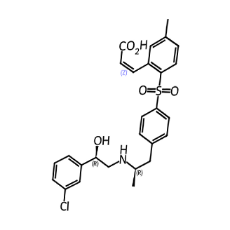 Cc1ccc(S(=O)(=O)c2ccc(C[C@@H](C)NC[C@H](O)c3cccc(Cl)c3)cc2)c(/C=C\C(=O)O)c1